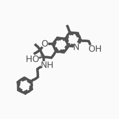 Cc1cc(CO)nc2cc3c(cc12)OC(C)(C)[C@@](O)(NCCc1ccccc1)C3